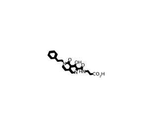 O=C(O)CCNC(=O)c1ncc2ccn(CCc3ccccc3)c(=O)c2c1O